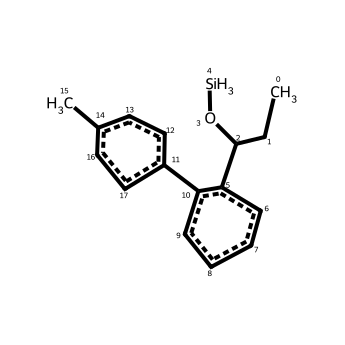 CCC(O[SiH3])c1ccccc1-c1ccc(C)cc1